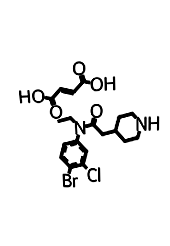 CCN(C(=O)CC1CCNCC1)c1ccc(Br)c(Cl)c1.O=C(O)/C=C/C(=O)O